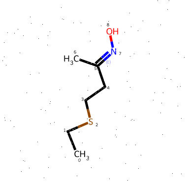 CCSCC/C(C)=N/O